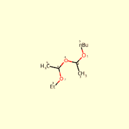 CC[CH]COC(C)OC(C)OCC